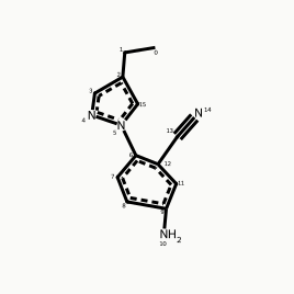 CCc1cnn(-c2ccc(N)cc2C#N)c1